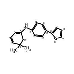 CC1(C)C=CC=C(Nc2ccc(-c3ccc[se]3)cc2)C1